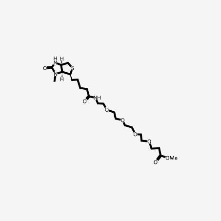 COC(=O)CCOCCOCCOCCOCCNC(=O)CCCC[C@@H]1SC[C@@H]2NC(=O)N(C)[C@@H]21